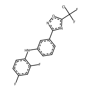 Fc1ccc(Nc2cccc(-c3noc(C(F)(F)Cl)n3)c2)c(F)c1